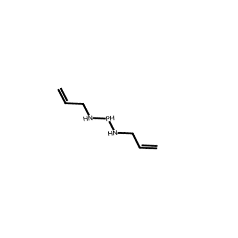 C=CCNPNCC=C